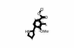 COc1c(C2CCCN2)ccc(C(=O)OCl)c1C